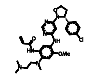 C=CC(=O)Nc1cc(Nc2cc(N3OCC[C@@H]3c3ccc(Cl)cc3)ncn2)c(OC)cc1N(C)CCN(C)C